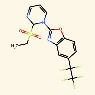 CCS(=O)(=O)C1N=CC=CN1c1nc2cc(C(F)(F)C(F)(F)F)ccc2o1